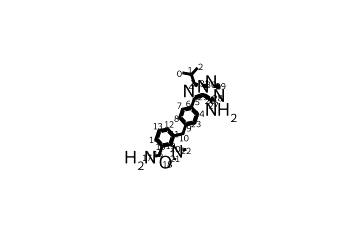 CC(C)c1nc(-c2ccc(Cc3cccc(C(N)=O)c3N(C)C)cc2)c2c(N)ncnn12